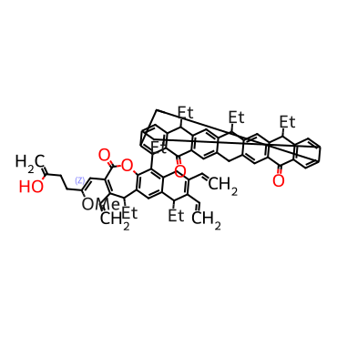 C=CC1=C(C=C)C(CC)c2cc3c(c(-c4c5c6cc7c4C(=O)c4cc8c(cc4C7CC)C(CC)c4cc7c(cc4C8)C(=O)c4cc(c(cc4C7CC)C6CC)C5)c2C1)OC(=O)C(/C=C(/CCC(=C)O)OC)=C(C=C)C3CC